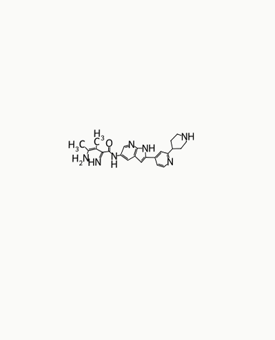 C/C(N)=C(\C)C(=N)C(=O)Nc1cnc2[nH]c(-c3ccnc(C4CCNCC4)c3)cc2c1